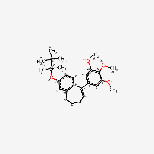 COc1cc(C2=CCCCc3cc(O[Si](C)(C)C(C)(C)C)ccc32)cc(OC)c1OC